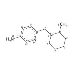 CC1CCCCN1Cc1ccc(N)cn1